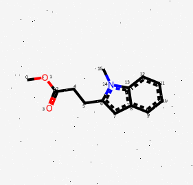 COC(=O)CCc1cc2ccccc2n1C